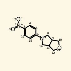 O=[N+]([O-])c1ccc(N2CC3COCC3C2)cc1